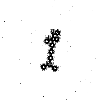 N=C/C(C1=CC=CCC1)=C1\NC(c2ccccc2)=C(C2=CC=C(C3=CC=C(C4=CC=C(c5nc(-c6ccccc6)cc(-c6ccccc6)n5)CC4)CC3)CC2)c2ccccc21